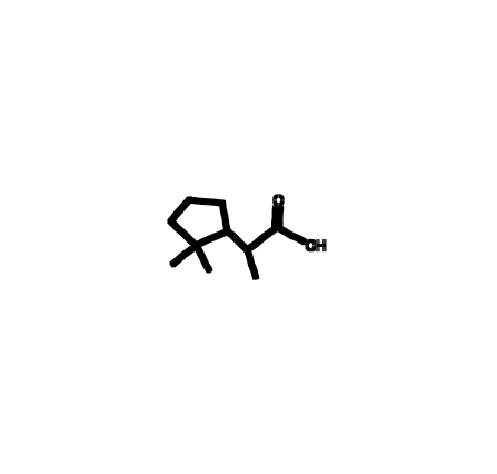 CC(C(=O)O)C1CCCC1(C)C